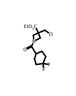 CCOC(=O)C1(CCl)CN(C(=O)C2CCC(F)(F)CC2)C1